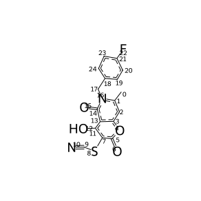 Cc1cc2oc(=O)c(SC#N)c(O)c2c(=O)n1Cc1ccc(F)cc1